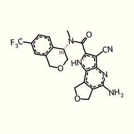 CN(C(=O)c1[nH]c2c3c(c(N)nc2c1C#N)COC3)[C@@H]1COCc2cc(C(F)(F)F)ccc21